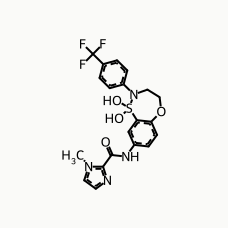 Cn1ccnc1C(=O)Nc1ccc2c(c1)S(O)(O)N(c1ccc(C(F)(F)F)cc1)CCO2